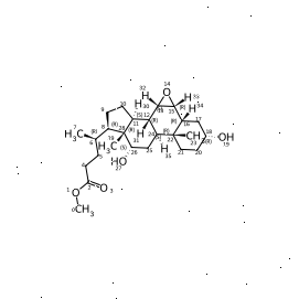 COC(=O)CC[C@@H](C)[C@H]1CC[C@H]2[C@@H]3[C@@H]4O[C@@H]4[C@@H]4C[C@H](O)CC[C@]4(C)[C@H]3C[C@H](O)[C@]12C